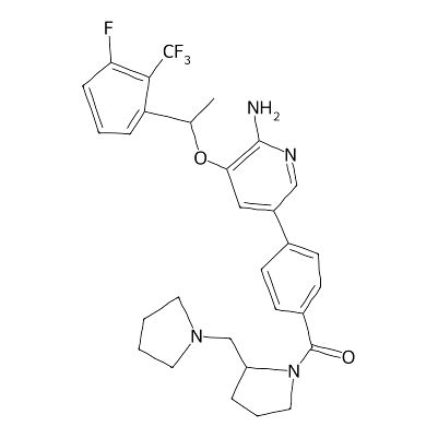 CC(Oc1cc(-c2ccc(C(=O)N3CCCC3CN3CCCC3)cc2)cnc1N)c1cccc(F)c1C(F)(F)F